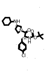 CC(C)(C)OC(=O)N[C@H](Cc1ccc(Cl)cc1)C(=O)N1CC[C@H](NC2CCCCC2)C1